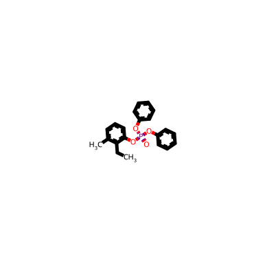 CCc1c(C)cccc1OP(=O)(Oc1ccccc1)Oc1ccccc1